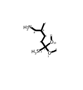 COC([SiH3])(CCC(C)CN)OC